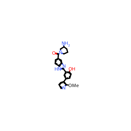 COc1ncccc1-c1ccc(O)c(-c2nc3cc(C(=O)N4CCCC(N)C4)ccc3[nH]2)c1